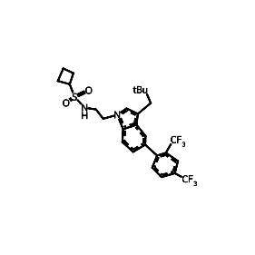 CC(C)(C)Cc1cn(CCNS(=O)(=O)C2CCC2)c2ccc(-c3ccc(C(F)(F)F)cc3C(F)(F)F)cc12